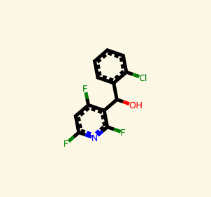 OC(c1ccccc1Cl)c1c(F)cc(F)nc1F